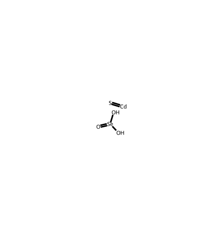 O=[Se](O)O.[S]=[Cd]